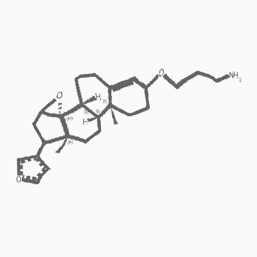 C[C@]12CCC(OCCCN)C=C1CC[C@@H]1[C@H]2CC[C@]2(C)C(c3ccoc3)CC3O[C@]312